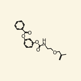 C=C(C)COCCNC(=O)Oc1cccc(OC(=O)c2ccccc2)c1